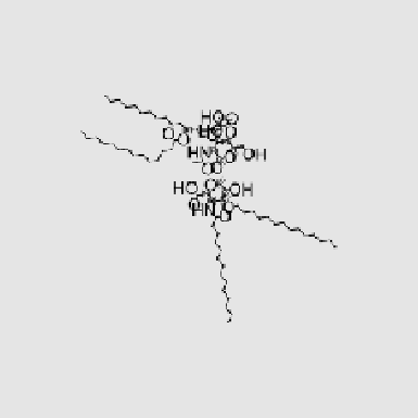 CCCCCCCCCCCCCCO[C@H]1[C@H](O)[C@@H](CO[C@@H]2O[C@H](CO)[C@@H](OP(=O)(O)O)[C@H](OCC[C@@H](CCCCCCCCCCC)OC(=O)CCCCCCCCCCCCC)[C@H]2NC(C)=O)O[C@H](C(=O)O)[C@@H]1NC(=O)CCCCCCCCCCCCC